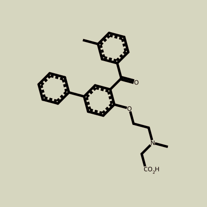 Cc1cccc(C(=O)c2cc(-c3ccccc3)ccc2OCCN(C)CC(=O)O)c1